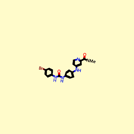 CNC(=O)c1cc(Nc2ccc(NC(=O)Nc3ccc(Br)cc3)cc2)ccn1